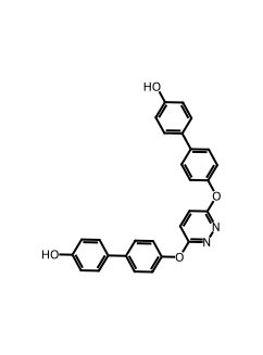 Oc1ccc(-c2ccc(Oc3ccc(Oc4ccc(-c5ccc(O)cc5)cc4)nn3)cc2)cc1